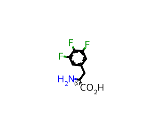 N[C@@H](Cc1cc(F)c(F)c(F)c1)C(=O)O